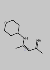 CC(=N)/C=C(/C)NC1CCOCC1